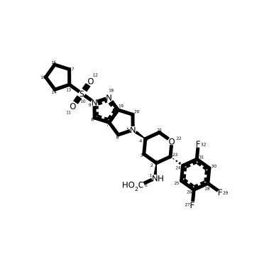 O=C(O)N[C@H]1C[C@@H](N2Cc3cn(S(=O)(=O)C4CCCC4)nc3C2)CO[C@@H]1c1cc(F)c(F)cc1F